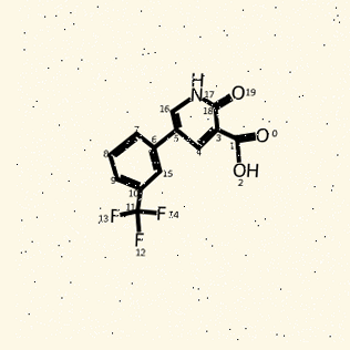 O=C(O)c1cc(-c2cccc(C(F)(F)F)c2)c[nH]c1=O